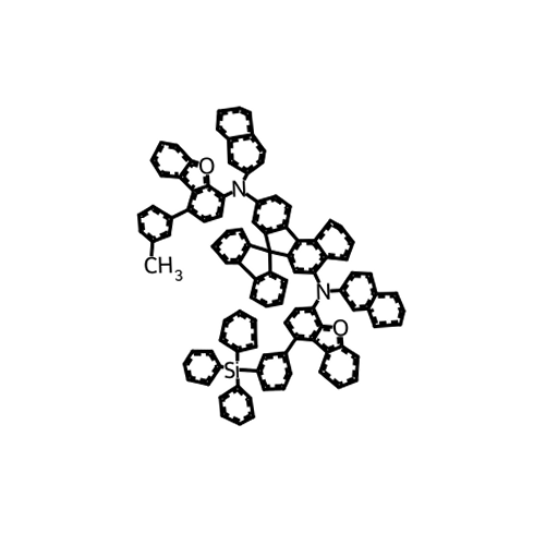 Cc1cccc(-c2ccc(N(c3ccc4c(c3)C3(c5ccccc5-c5ccccc53)c3cc(N(c5ccc6ccccc6c5)c5ccc(-c6cccc([Si](c7ccccc7)(c7ccccc7)c7ccccc7)c6)c6c5oc5ccccc56)c5ccccc5c3-4)c3ccc4ccccc4c3)c3oc4ccccc4c23)c1